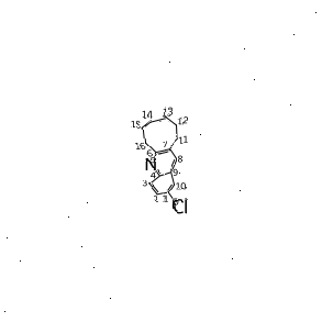 Clc1ccc2nc3c(cc2c1)CCCCCC3